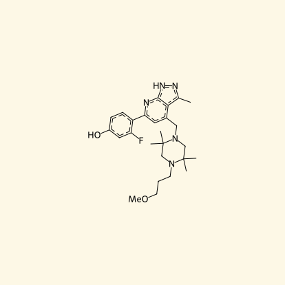 COCCCN1CC(C)(C)N(Cc2cc(-c3ccc(O)cc3F)nc3[nH]nc(C)c23)CC1(C)C